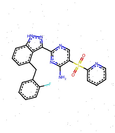 Nc1nc(-c2n[nH]c3cccc(Cc4ccccc4F)c23)ncc1S(=O)(=O)c1ccccn1